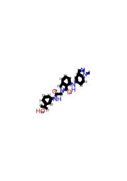 Cn1ncc2cc(Nc3cccc4c3C(=O)N(CC(=O)Nc3cccc(C(C)(C)O)c3)C4)ccc21